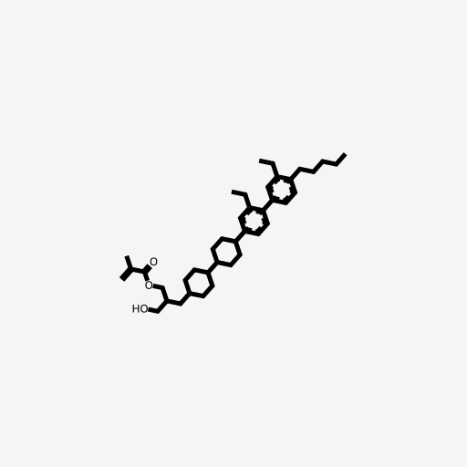 C=C(C)C(=O)OCC(CO)CC1CCC(C2CCC(c3ccc(-c4ccc(CCCCC)c(CC)c4)c(CC)c3)CC2)CC1